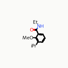 CCNC(=O)c1cccc(C(C)C)c1OC